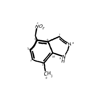 Cc1ccc([N+](=O)[O-])c2cn[nH]c12